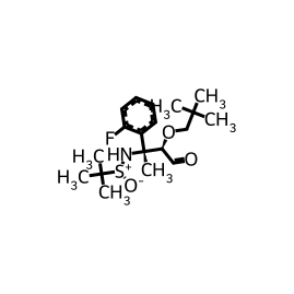 CC(C)(C)CO[C@@H](C=O)[C@](C)(N[S+]([O-])C(C)(C)C)c1ccccc1F